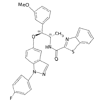 COc1cccc([C@H](Oc2ccc3c(cnn3-c3ccc(F)cc3)c2)[C@H](C)NC(=O)c2nc3ccccc3s2)c1